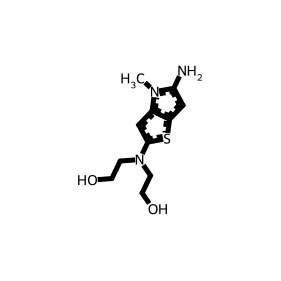 Cn1c(N)cc2sc(N(CCO)CCO)cc21